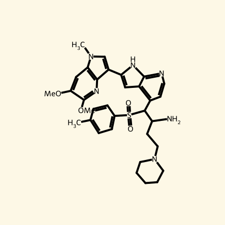 COc1cc2c(nc1OC)c(-c1cc3c(C(C(N)CCN4CCCCC4)S(=O)(=O)c4ccc(C)cc4)ccnc3[nH]1)cn2C